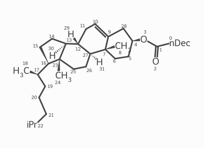 CCCCCCCCCCC(=O)O[C@H]1CC[C@@]2(C)C(=CC[C@H]3[C@@H]4CC[C@H]([C@H](C)CCCC(C)C)[C@@]4(C)CC[C@@H]32)C1